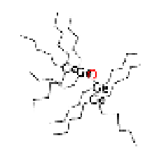 CCCC[CH2][Ge]([CH2]CCCC)([CH2]CCCC)[Ge]([CH2]CCCC)([CH2]CCCC)[O][Ge]([CH2]CCCC)([CH2]CCCC)[Ge]([CH2]CCCC)([CH2]CCCC)[CH2]CCCC